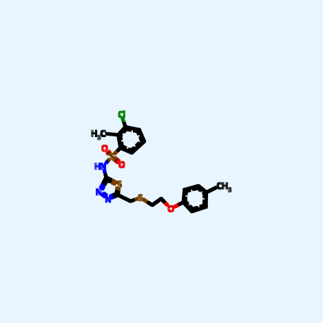 Cc1ccc(OCCSCc2nnc(NS(=O)(=O)c3cccc(Cl)c3C)s2)cc1